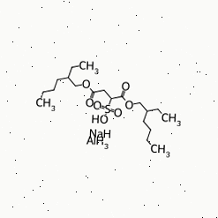 CCCCC(CC)COC(=O)CC(C(=O)OCC(CC)CCCC)S(=O)(=O)O.[AlH3].[NaH]